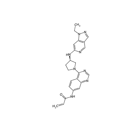 C=CC(=O)Nc1ccc2c(N3CC[C@@H](Nc4cc5c(cn4)cnn5CC)C3)ncnc2c1